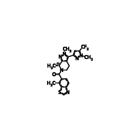 Cc1c(C(=O)N2CCc3c(nn(C)c3-c3cc(C(F)(F)F)n(C)n3)[C@@H]2C)ccc2ncsc12